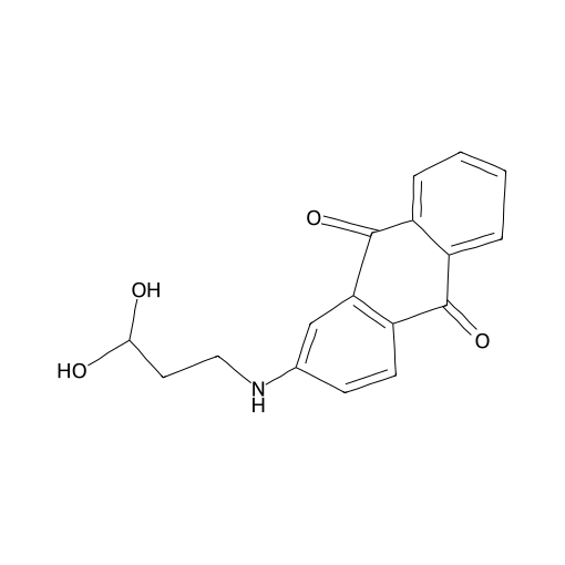 O=C1c2ccccc2C(=O)c2cc(NCCC(O)O)ccc21